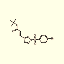 CC(C)(C)OC(=O)C=Cc1ccn(S(=O)(=O)c2ccc(Br)cc2)c1